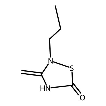 C=C1NC(=O)SN1CCC